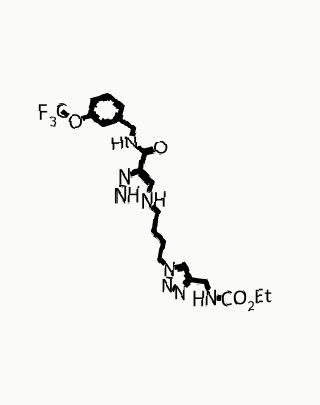 CCOC(=O)NCc1cn(CCCCN/C=C(\N=N)C(=O)NCc2cccc(OC(F)(F)F)c2)nn1